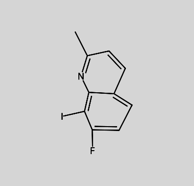 Cc1ccc2ccc(F)c(I)c2n1